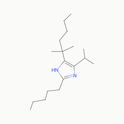 CCCCCc1nc(C(C)C)c(C(C)(C)CCCC)[nH]1